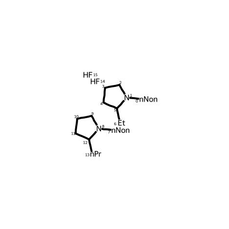 CCCCCCCCCN1CCCC1CC.CCCCCCCCCN1CCCC1CCC.F.F